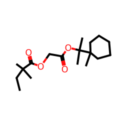 CCC(C)(C)C(=O)OCC(=O)OC(C)(C)C1(C)CCCCC1